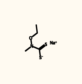 CCON(C)C(=S)[S-].[Na+]